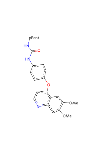 CCCCCNC(=O)Nc1ccc(Oc2ccnc3cc(OC)c(OC)cc23)cc1